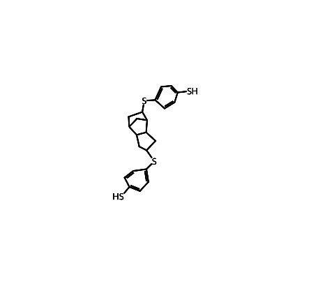 Sc1ccc(SC2CC3C4CC(Sc5ccc(S)cc5)C(C4)C3C2)cc1